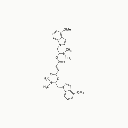 COc1cccc2c1ccn2CC(OC(=O)/C=C/C(=O)OC(Cn1ccc2c(OC)cccc21)N(C)C)N(C)C